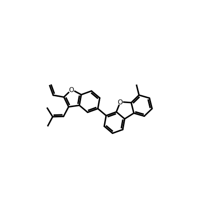 C=Cc1oc2ccc(-c3cccc4c3oc3c(C)cccc34)cc2c1C=C(C)C